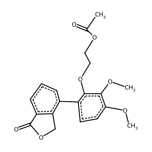 COc1ccc(-c2cccc3c2COC3=O)c(OCCOC(C)=O)c1OC